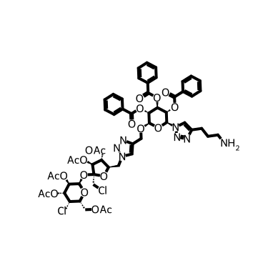 CC(=O)OC[C@H]1O[C@H](O[C@]2(CCl)O[C@H](Cn3cc(CO[C@@H]4O[C@H](n5cc(CCCN)nn5)[C@@H](OC(=O)c5ccccc5)[C@H](OC(=O)c5ccccc5)[C@H]4OC(=O)c4ccccc4)nn3)[C@@H](OC(C)=O)[C@@H]2OC(C)=O)[C@H](OC(C)=O)[C@@H](OC(C)=O)[C@H]1Cl